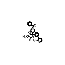 CN1C(=O)C(c2cccc(-c3cccnc3F)c2)(C2CCN(C(=O)c3ccccc3)CC2)N=C1N